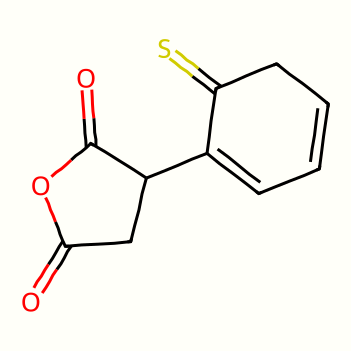 O=C1CC(C2=CC=CCC2=S)C(=O)O1